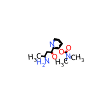 CC(N)CC(=O)c1ncccc1OC(=O)N(C)C